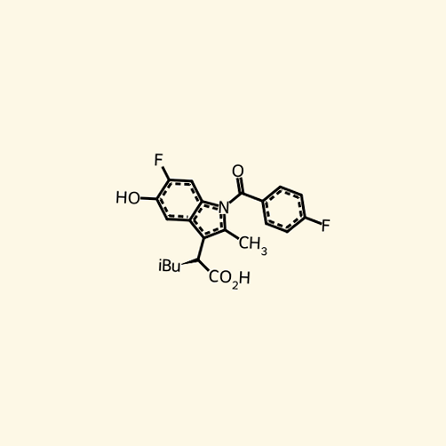 CC[C@H](C)C(C(=O)O)c1c(C)n(C(=O)c2ccc(F)cc2)c2cc(F)c(O)cc12